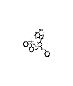 C=CC1(CO[Si](c2ccccc2)(c2ccccc2)C(C)(C)C)OC(n2cnc3c(N)ncnc32)CC1OCc1ccccc1